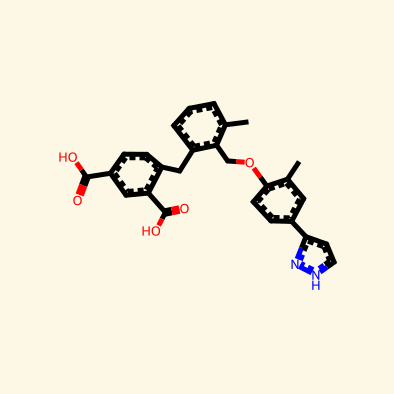 Cc1cc(-c2cc[nH]n2)ccc1OCc1c(C)cccc1Cc1ccc(C(=O)O)cc1C(=O)O